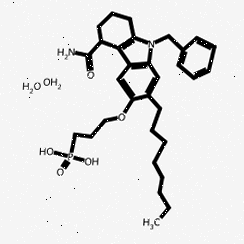 CCCCCCCCc1cc2c(cc1OCCCP(=O)(O)O)c1c(n2Cc2ccccc2)CCCC1C(N)=O.O.O